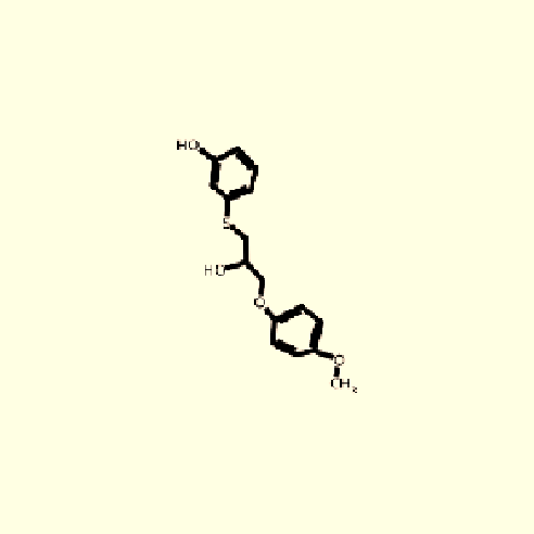 COc1ccc(OCC(O)CSc2cccc(O)c2)cc1